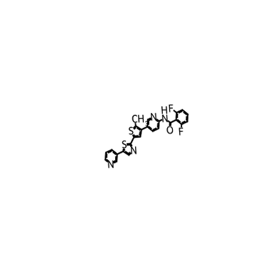 Cc1sc(-c2ncc(-c3cccnc3)s2)cc1-c1ccc(NC(=O)c2c(F)cccc2F)nc1